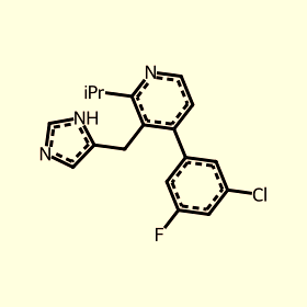 CC(C)c1nccc(-c2cc(F)cc(Cl)c2)c1Cc1cnc[nH]1